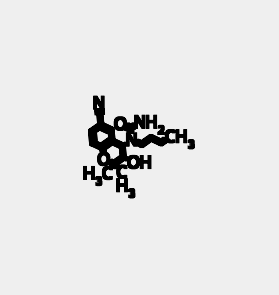 CCCCN(C(N)=O)[C@H]1c2cc(C#N)ccc2OC(C)(C)[C@@H]1O